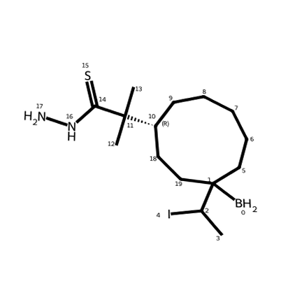 BC1(C(C)I)CCCCC[C@@H](C(C)(C)C(=S)NN)CC1